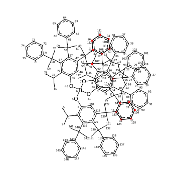 CC(C)c1c([O][Ti]([O]c2cc(C(C)(C)c3ccccc3)c(C(C)(C)c3ccccc3)c(C(C)(C)c3ccccc3)c2C(C)C)([O]c2cc(C(C)(C)c3ccccc3)c(C(C)(C)c3ccccc3)c(C(C)(C)c3ccccc3)c2C(C)C)[O]c2cc(C(C)(C)c3ccccc3)c(C(C)(C)c3ccccc3)c(C(C)(C)c3ccccc3)c2C(C)C)cc(C(C)(C)c2ccccc2)c(C(C)(C)c2ccccc2)c1C(C)(C)c1ccccc1